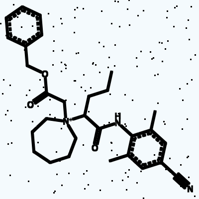 CCCC(C(=O)Nc1c(C)cc(C#N)cc1C)[N+]1(CC(=O)OCc2ccccc2)CCCCCC1